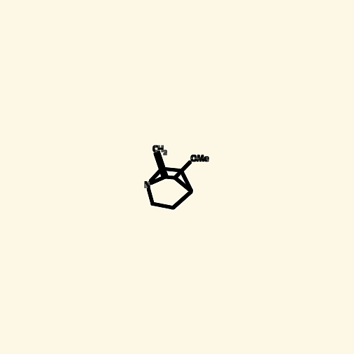 C=C1C(OC)C2CCN1CC2